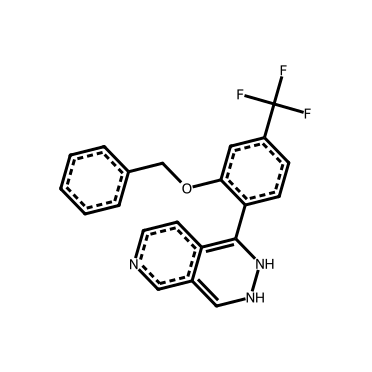 FC(F)(F)c1ccc(C2=c3ccncc3=CNN2)c(OCc2ccccc2)c1